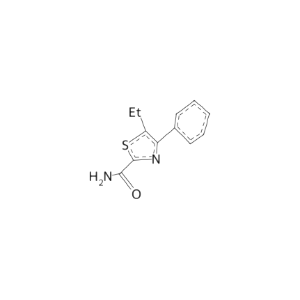 CCc1sc(C(N)=O)nc1-c1ccccc1